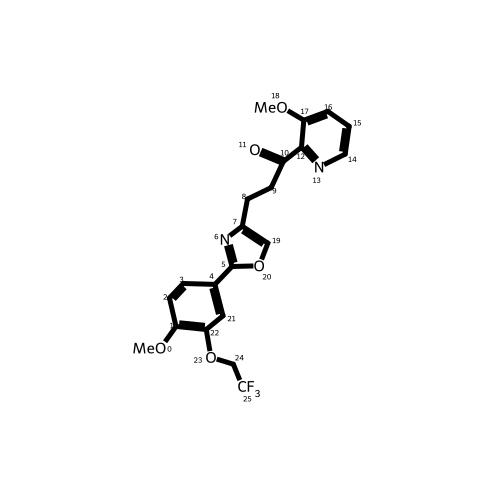 COc1ccc(-c2nc(CCC(=O)c3ncccc3OC)co2)cc1OCC(F)(F)F